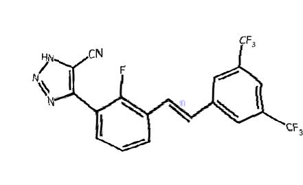 N#Cc1[nH]nnc1-c1cccc(/C=C/c2cc(C(F)(F)F)cc(C(F)(F)F)c2)c1F